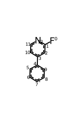 Fc1cc(-c2cc[c]cc2)ccn1